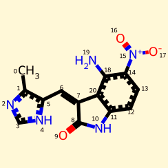 Cc1nc[nH]c1C=C1C(=O)Nc2ccc([N+](=O)[O-])c(N)c21